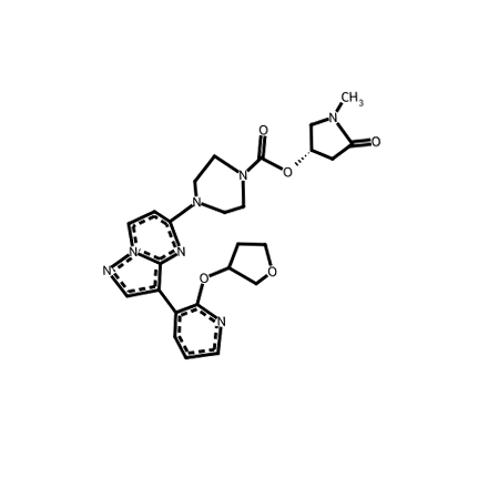 CN1C[C@@H](OC(=O)N2CCN(c3ccn4ncc(-c5cccnc5OC5CCOC5)c4n3)CC2)CC1=O